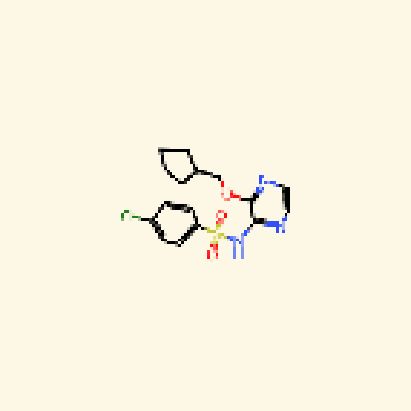 O=S(=O)(Nc1nccnc1OCC1CCCC1)c1ccc(Cl)cc1